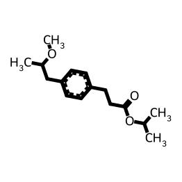 COC(C)Cc1ccc(CCC(=O)OC(C)C)cc1